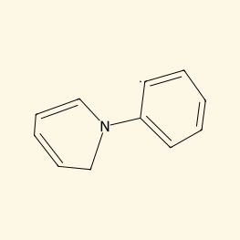 [c]1ccccc1N1C=CC=CC1